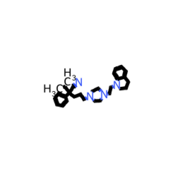 CC(C)C(C#N)(CCCN1CCN(CCN2CCCc3ccccc32)CC1)c1ccccc1